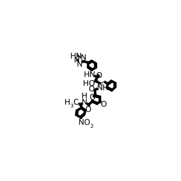 C[C@@H](NC(=O)c1cc(=O)cc(C(=O)N[C@@H](Cc2ccccc2)[C@H](O)C(=O)Nc2cccc(-c3nn[nH]n3)c2)o1)c1ccc([N+](=O)[O-])cc1